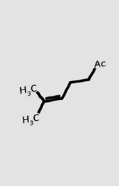 [CH2]C(=O)CCC=C(C)C